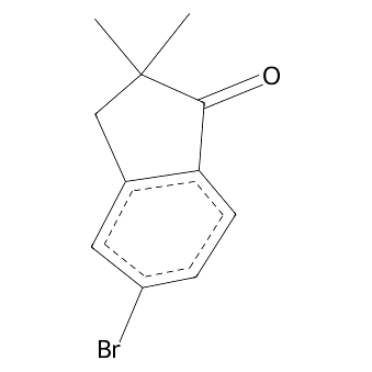 CC1(C)Cc2cc(Br)ccc2C1=O